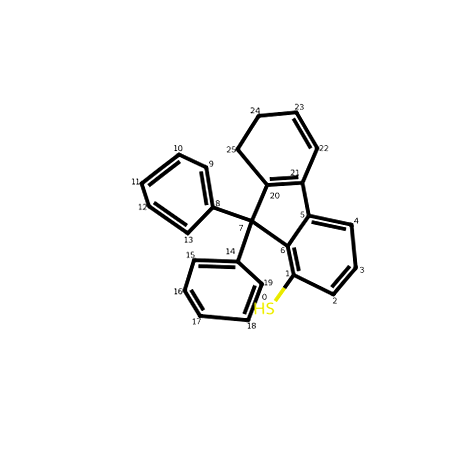 Sc1cccc2c1C(c1ccccc1)(c1ccccc1)C1=C2C=CCC1